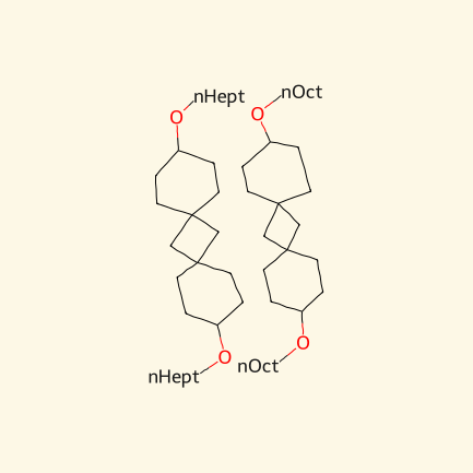 CCCCCCCCOC1CCC2(CC1)CC1(CCC(OCCCCCCCC)CC1)C2.CCCCCCCOC1CCC2(CC1)CC1(CCC(OCCCCCCC)CC1)C2